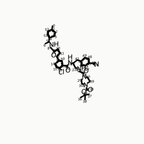 Cc1ccc(C(C)NCc2ccc(-c3ccc(Cl)c(C(=O)NC(CNCC(=O)N4CCN(C(=O)OC(C)(C)C)CC4)Cc4ccc(C#N)cc4)c3)o2)cc1